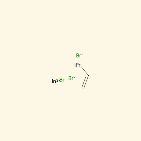 C=CC(C)C.[Br-].[Br-].[Br-].[In+3]